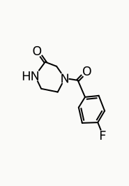 O=C1CN(C(=O)c2ccc(F)cc2)CCN1